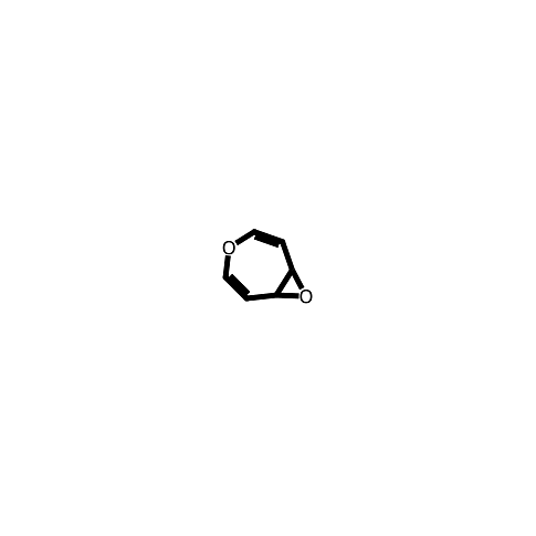 C1=CC2OC2C=CO1